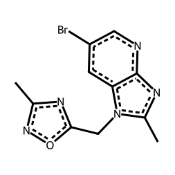 Cc1noc(Cn2c(C)nc3ncc(Br)cc32)n1